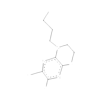 CCCCN1CCOc2nc(Cl)c(Cl)nc21